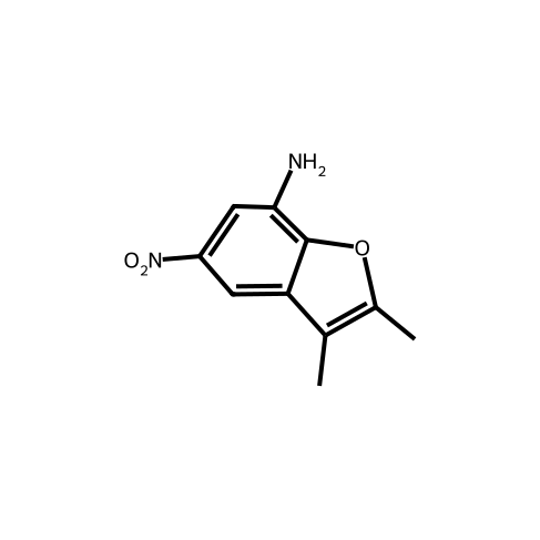 Cc1oc2c(N)cc([N+](=O)[O-])cc2c1C